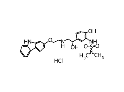 CN(C)S(=O)(=O)Nc1cc([C@@H](O)CNCCOc2ccc3c(c2)[nH]c2ccccc23)ccc1O.Cl